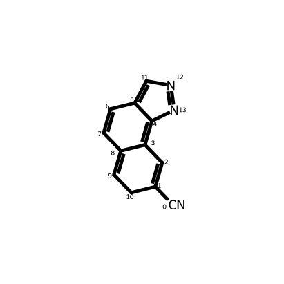 N#CC1=Cc2c3c(ccc2=CC1)=CN=N3